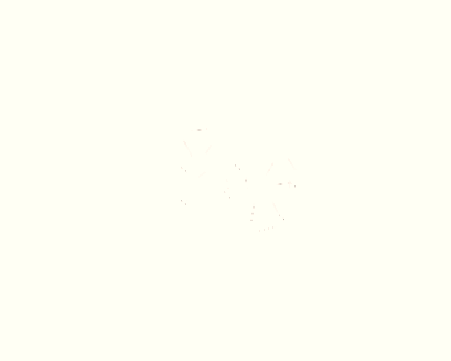 c1ccc2c(-c3nc4c5cccnc5c5ncccc5c4[nH]3)c(CN3CCCCC3)[nH]c2c1